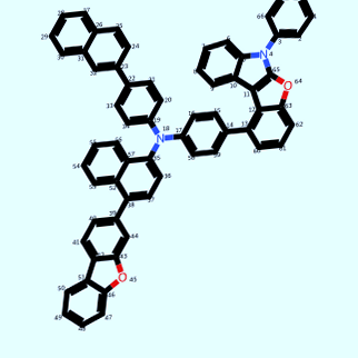 c1ccc(-n2c3ccccc3c3c4c(-c5ccc(N(c6ccc(-c7ccc8ccccc8c7)cc6)c6ccc(-c7ccc8c(c7)oc7ccccc78)c7ccccc67)cc5)cccc4oc32)cc1